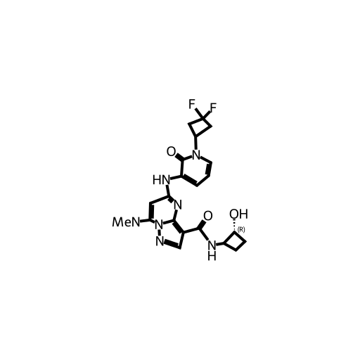 CNc1cc(Nc2cccn(C3CC(F)(F)C3)c2=O)nc2c(C(=O)NC3CC[C@H]3O)cnn12